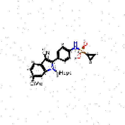 CCCCCCCn1c(-c2ccc(NS(=O)(=O)C3CC3)cc2)c(C#N)c2ccc(OC)cc21